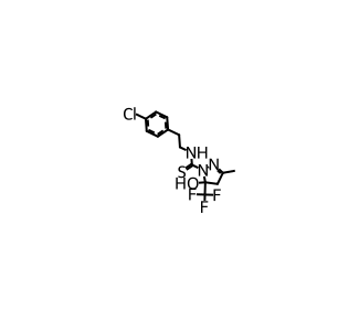 CC1=NN(C(=S)NCCc2ccc(Cl)cc2)C(O)(C(F)(F)F)C1